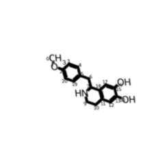 COc1ccc(CC2NCCc3cc(O)c(O)cc32)cc1